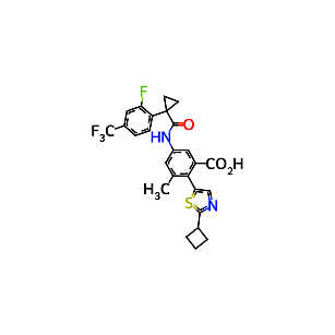 Cc1cc(NC(=O)C2(c3ccc(C(F)(F)F)cc3F)CC2)cc(C(=O)O)c1-c1cnc(C2CCC2)s1